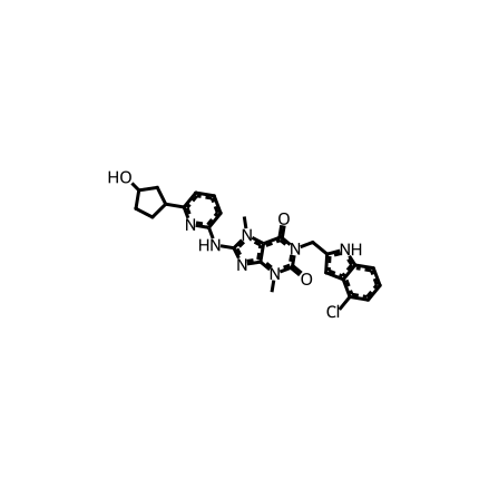 Cn1c(Nc2cccc(C3CCC(O)C3)n2)nc2c1c(=O)n(Cc1cc3c(Cl)cccc3[nH]1)c(=O)n2C